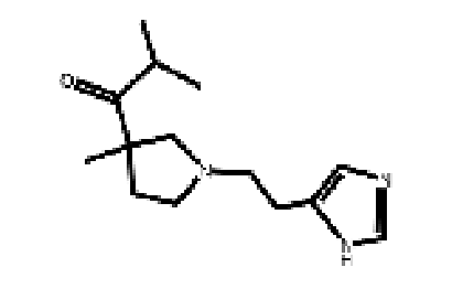 CC(C)C(=O)C1(C)CCN(CCc2cnc[nH]2)C1